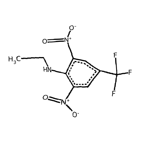 CCNc1c([N+](=O)[O-])cc(C(F)(F)F)cc1[N+](=O)[O-]